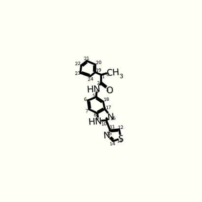 CC(C(=O)Nc1ccc2[nH]c(-c3cscn3)nc2c1)c1ccccc1